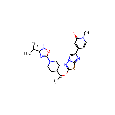 CC(C)C1N=C(N2CCC([C@H](C)Oc3nn4cc(-c5ccn(C)c(=O)c5)nc4s3)CC2)ON1